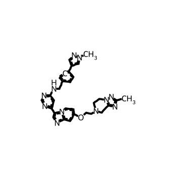 Cc1nc2n(n1)CCN(CCOc1ccn3c(-c4cc(NCc5ccc(-c6cnn(C)c6)cc5)ncn4)cnc3c1)C2